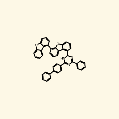 c1ccc(C2=NC(c3cccc4oc5c(-c6cccc7oc8ccccc8c67)cccc5c34)NC(c3ccc(-c4ccccc4)cc3)=N2)cc1